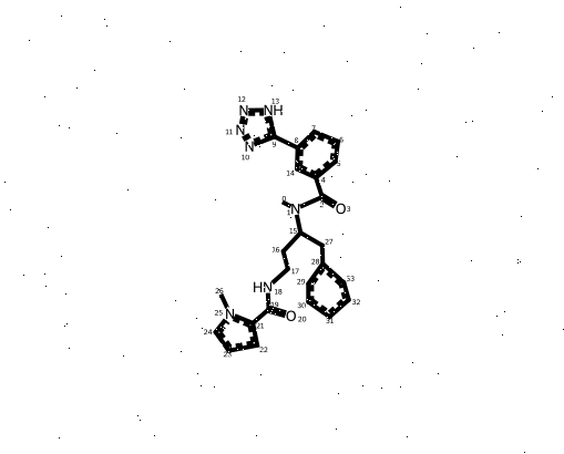 CN(C(=O)c1cccc(-c2nnn[nH]2)c1)C(CCNC(=O)c1cccn1C)Cc1ccccc1